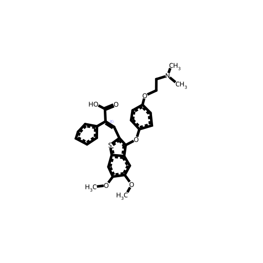 COc1cc2sc(/C=C(/C(=O)O)c3ccccc3)c(Oc3ccc(OCCN(C)C)cc3)c2cc1OC